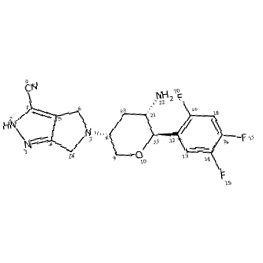 N#Cc1[nH]nc2c1CN([C@H]1CO[C@H](c3cc(F)c(F)cc3F)[C@@H](N)C1)C2